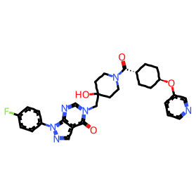 O=c1c2cnn(-c3ccc(F)cc3)c2ncn1CC1(O)CCN(C(=O)[C@H]2CC[C@H](Oc3cccnc3)CC2)CC1